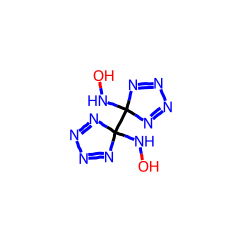 ONC1(C2(NO)N=NN=N2)N=NN=N1